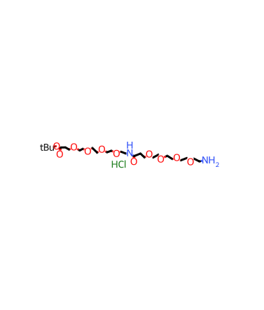 CC(C)(C)OC(=O)CCOCCOCCOCCOCCNC(=O)CCOCCOCCOCCOCCN.Cl